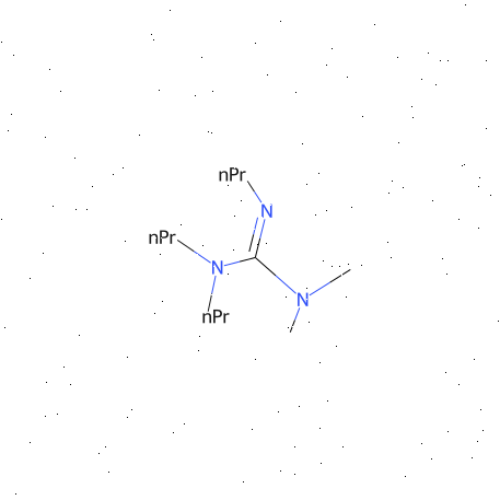 CCC/N=C(/N(C)C)N(CCC)CCC